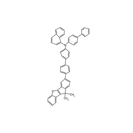 CC1(C)c2ccc(-c3ccc(-c4ccc(N(c5ccc(-c6ccccc6)cc5)c5cccc6ccccc56)cc4)cc3)cc2-c2oc3ccccc3c21